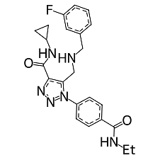 CCNC(=O)c1ccc(-n2nnc(C(=O)NC3CC3)c2CNCc2cccc(F)c2)cc1